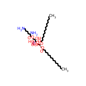 CCCCCCCCCCCCCCCC(=O)OC[C@H](COC(C(O)COC(=O)[C@@H](N)CCCCN)P(=O)(O)O)OC(=O)CCCCCCCCCCCCCCC